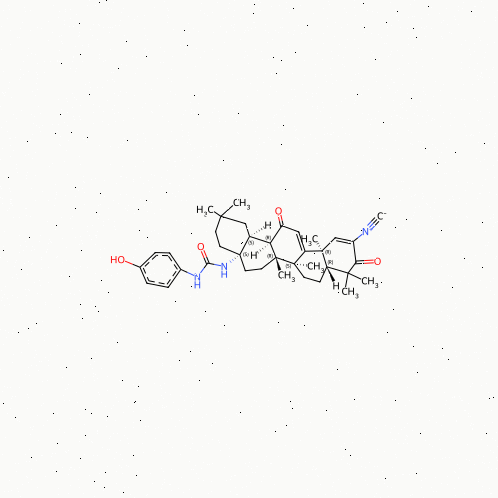 [C-]#[N+]C1=C[C@]2(C)C3=CC(=O)[C@@H]4[C@@H]5CC(C)(C)CC[C@]5(NC(=O)Nc5ccc(O)cc5)CC[C@@]4(C)[C@]3(C)CC[C@H]2C(C)(C)C1=O